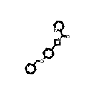 O=C(c1ccccn1)N1CC(c2ccc(OCc3ccccc3)cc2)C1